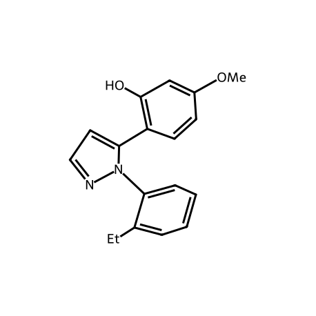 CCc1ccccc1-n1nccc1-c1ccc(OC)cc1O